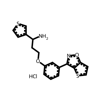 Cl.NC(CCOc1cccc(-c2noc3ccsc23)c1)c1ccsc1